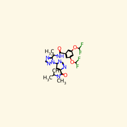 CC(C)N(C)C(=O)c1cc(-n2ncnc2[C@H](C)NC(=O)c2cc(OC(F)F)cc(OC(F)F)c2)ncn1